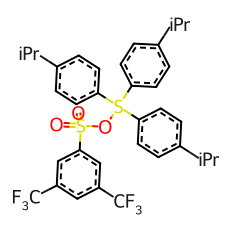 CC(C)c1ccc(S(OS(=O)(=O)c2cc(C(F)(F)F)cc(C(F)(F)F)c2)(c2ccc(C(C)C)cc2)c2ccc(C(C)C)cc2)cc1